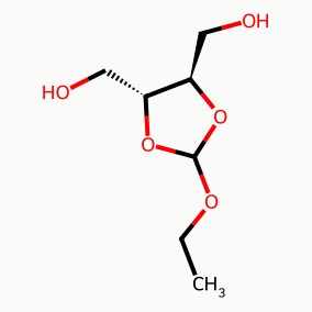 CCOC1O[C@H](CO)[C@@H](CO)O1